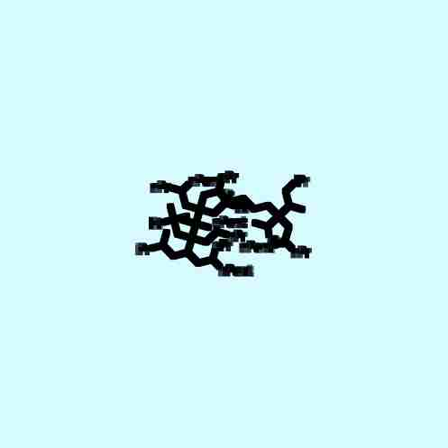 CCCCCC(CCC)C[C](CC(C)C(C)C)C(CC(CCC)CCCCC)(CC(C)(C)CC)C(C)(C)C(CC(CC)CC)(CC(CCC)CCCCC)CC(CCC)CCCCC(CC(CCC)CCCCC)(C(C)CC(C)C)C(C)C(C)CC